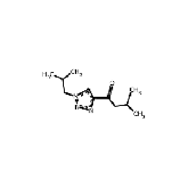 CC(C)CC(=O)c1cn(CC(C)C)nn1